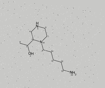 CC(O)C1CNCCN1CCCCCN